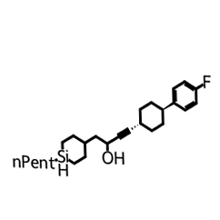 CCCCC[SiH]1CCC(CC(O)C#C[C@H]2CC[C@H](c3ccc(F)cc3)CC2)CC1